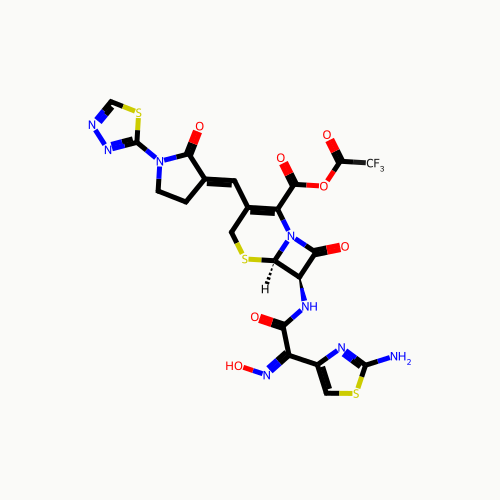 Nc1nc(/C(=N/O)C(=O)N[C@@H]2C(=O)N3C(C(=O)OC(=O)C(F)(F)F)=C(C=C4CCN(c5nncs5)C4=O)CS[C@H]23)cs1